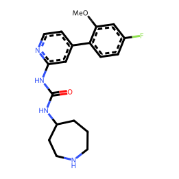 COc1cc(F)ccc1-c1ccnc(NC(=O)NC2CCCNCC2)c1